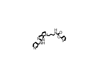 O=C(NCCCn1ccc2cnc(Nc3cccnc3)nc21)Oc1cccs1